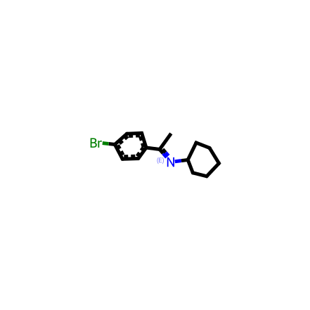 C/C(=N\C1CCCCC1)c1ccc(Br)cc1